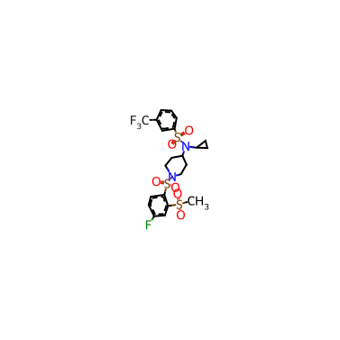 CS(=O)(=O)c1cc(F)ccc1S(=O)(=O)N1CCC(N(C2CC2)S(=O)(=O)c2cccc(C(F)(F)F)c2)CC1